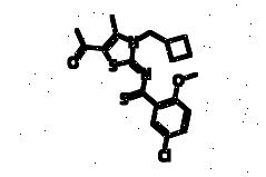 COc1ccc(Cl)cc1C(=S)N=c1sc(C(C)=O)c(C)n1CC1CCC1